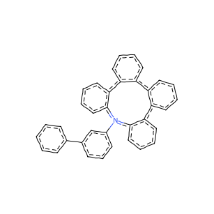 c1ccc(-c2cccc(-n3c4ccccc4c4ccccc4c4ccccc4c4ccccc43)c2)cc1